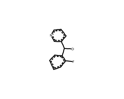 [O]C(c1cccnc1)c1ccccc1F